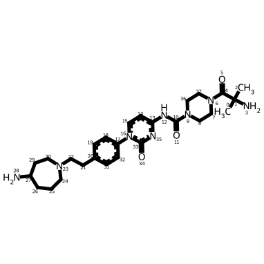 CC(C)(N)C(=O)N1CCN(C(=O)Nc2ccn(-c3ccc(CCN4CCCC(N)CC4)cc3)c(=O)n2)CC1